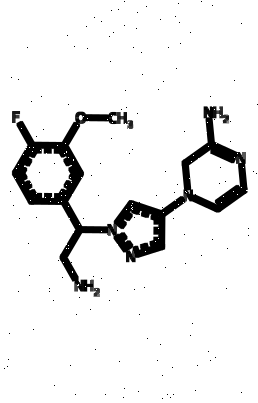 COc1cc(C(CN)n2cc(N3C=CN=C(N)C3)cn2)ccc1F